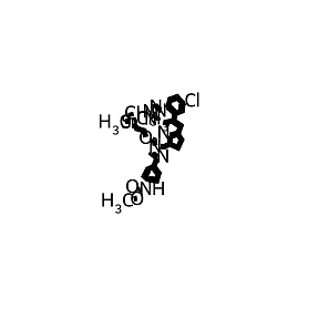 COC(=O)Nc1ccc(-c2cn(COCC[Si](C)(C)C)c(C3CCc4cc(-c5cc(Cl)ccc5-n5cnnn5)cnc43)n2)cc1